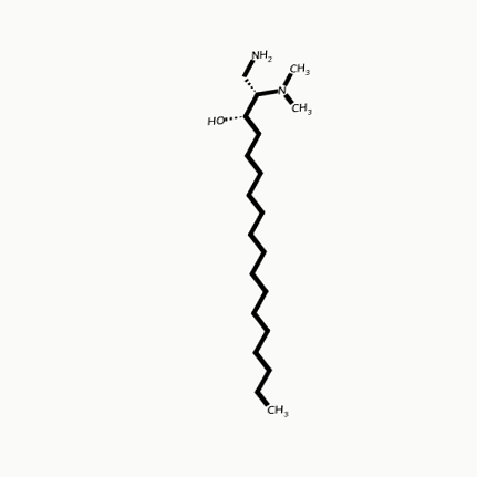 CCCCCCCCCCCCCCC[C@H](O)[C@H](CN)N(C)C